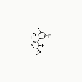 COc1ccc(F)c(-c2cc(F)cc(F)c2OC)c1F